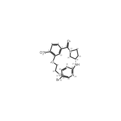 O=C(c1ccc([N+](=O)[O-])c(OCCO)c1)N1CC[C@H](Nc2ncc(Br)cn2)C1